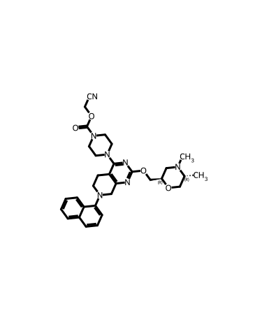 C[C@@H]1CO[C@@H](COc2nc3c(c(N4CCN(C(=O)OCC#N)CC4)n2)CCN(c2cccc4ccccc24)C3)CN1C